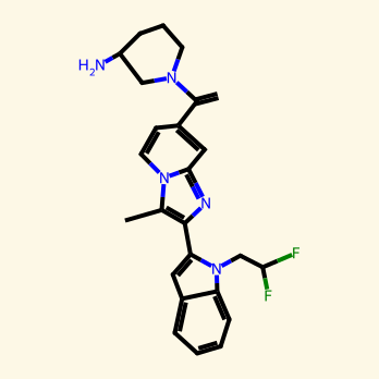 C=C(c1ccn2c(C)c(-c3cc4ccccc4n3CC(F)F)nc2c1)N1CCCC(N)C1